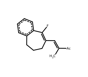 CC(=O)/C(C)=C/C1=C(F)c2ccccc2CCC1